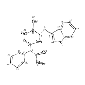 CNC(=O)C(C(=O)N[C@@H](Cc1coc2ccccc12)B(O)O)c1ccccc1